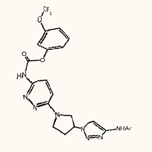 CC(=O)Nc1cn(C2CCN(c3ccc(NC(=O)Oc4cccc(OC(F)(F)F)c4)nn3)C2)nn1